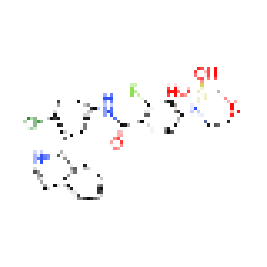 O=C(Nc1ccc(Cl)c(-c2nccc3ccccc23)c1)c1ccc(N2CCOCS2(O)O)cc1F